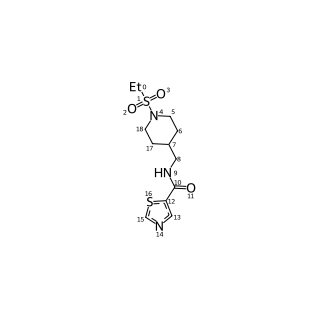 CCS(=O)(=O)N1CCC(CNC(=O)c2cncs2)CC1